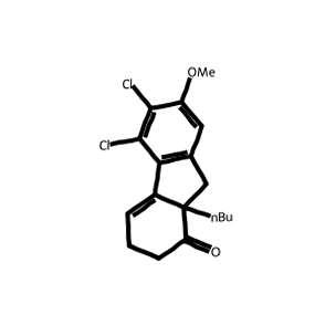 CCCCC12Cc3cc(OC)c(Cl)c(Cl)c3C1=CCCC2=O